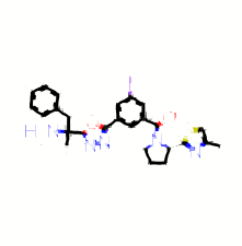 Cc1csc([C@H]2CCCN2C(=O)c2cc(I)cc(-c3nnc(C(C)(N)Cc4ccccc4)o3)c2)n1